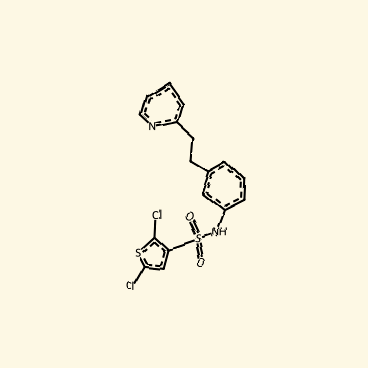 O=S(=O)(Nc1cccc(CCc2ccccn2)c1)c1cc(Cl)sc1Cl